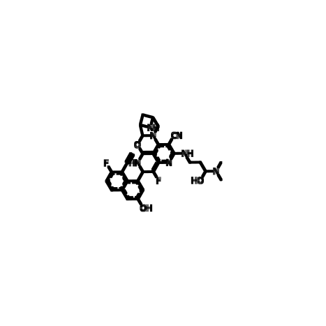 C#Cc1c(F)ccc2cc(O)cc(C3NC4=c5c(c(C#N)c(NCCC(O)N(C)C)nc5=C3F)N3CC5CC(N5)C3O4)c12